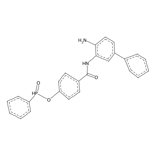 Nc1ccc(-c2ccccc2)cc1NC(=O)c1ccc(O[PH](=O)c2ccccc2)cc1